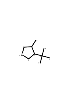 CC1COCC1C(C)(C)C